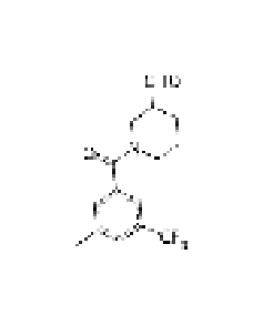 Cc1cc(C(=O)N2CCCC(C=O)C2)cc(C(F)(F)F)c1